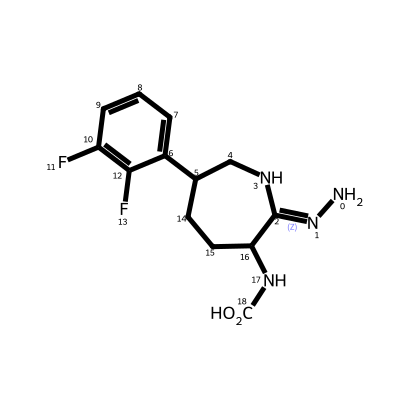 N/N=C1\NCC(c2cccc(F)c2F)CCC1NC(=O)O